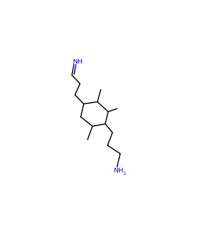 CC1CC(CCC=N)C(C)C(C)C1CCCN